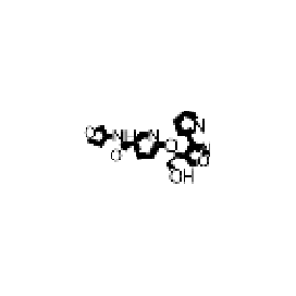 O=C(NC1CCOC1)c1ccc(O[C@H](CO)c2conc2-c2ccccn2)nc1